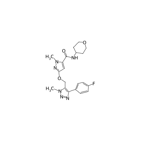 Cn1nc(OCc2c(-c3ccc(F)cc3)nnn2C)cc1C(=O)NC1CCOCC1